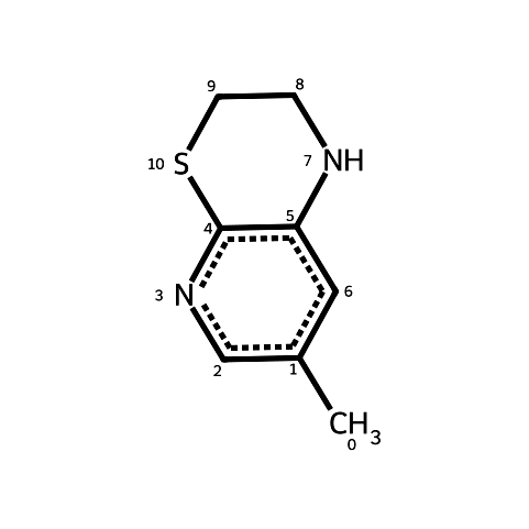 Cc1cnc2c(c1)NCCS2